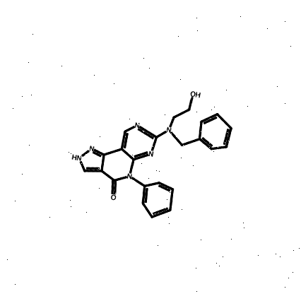 O=c1c2c[nH]nc2c2cnc(N(CCO)Cc3ccccc3)nc2n1-c1ccccc1